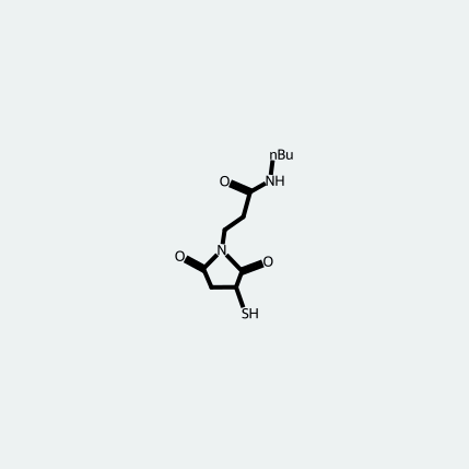 CCCCNC(=O)CCN1C(=O)CC(S)C1=O